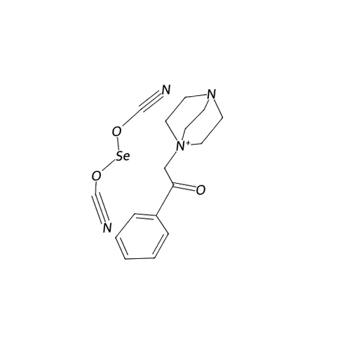 N#CO[Se]OC#N.O=C(C[N+]12CCN(CC1)CC2)c1ccccc1